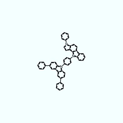 c1ccc(-c2ccc3c(c2)c2cc(-c4ccccc4)ccc2n3-c2ccc(-n3c4ccccc4c4ccc5c(ccn5-c5ccccc5)c43)cc2)cc1